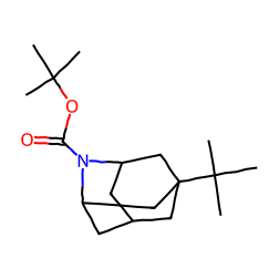 CC(C)(C)OC(=O)N1C2CC3CC1CC(C(C)(C)C)(C3)C2